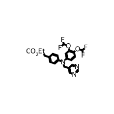 CCOC(=O)Cc1ccc(N(Cc2cncnc2)c2ccc(OC(F)F)c(OC(F)F)c2)cc1